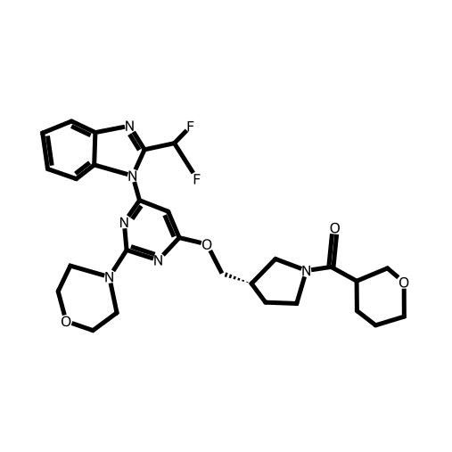 O=C(C1CCCOC1)N1CC[C@H](COc2cc(-n3c(C(F)F)nc4ccccc43)nc(N3CCOCC3)n2)C1